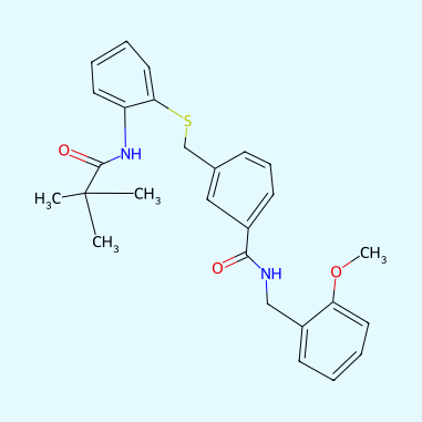 COc1ccccc1CNC(=O)c1cccc(CSc2ccccc2NC(=O)C(C)(C)C)c1